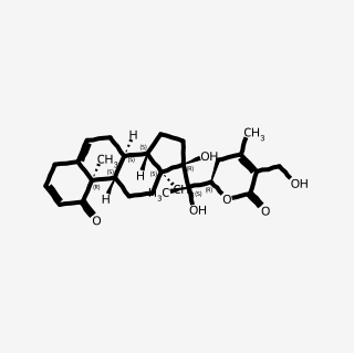 CC1=C(CO)C(=O)O[C@@H]([C@](C)(O)[C@@]2(O)CC[C@H]3[C@@H]4CC=C5CC=CC(=O)[C@]5(C)[C@H]4CC[C@@]32C)C1